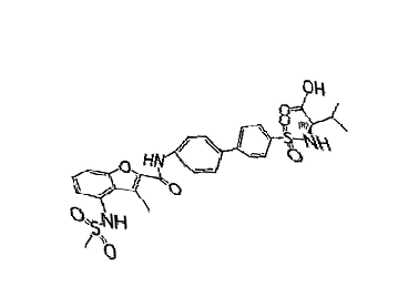 Cc1c(C(=O)Nc2ccc(-c3ccc(S(=O)(=O)N[C@@H](C(=O)O)C(C)C)cc3)cc2)oc2cccc(NS(C)(=O)=O)c12